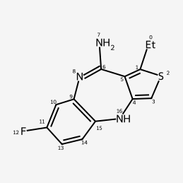 CCc1scc2c1C(N)=Nc1cc(F)ccc1N2